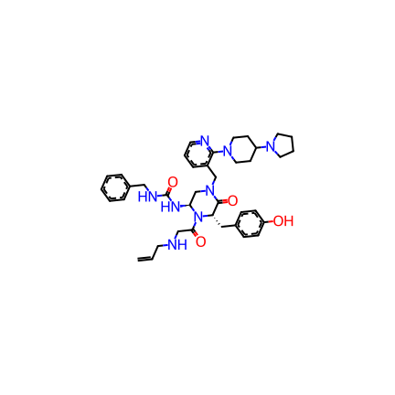 C=CCNCC(=O)N1[C@@H](NC(=O)NCc2ccccc2)CN(Cc2cccnc2N2CCC(N3CCCC3)CC2)C(=O)[C@@H]1Cc1ccc(O)cc1